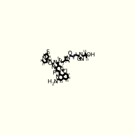 CN(CC1CN(C(=O)/C=C/c2nc(C(C)(C)O)no2)C1)c1nc(OC[C@@]23CCCN2C[C@H](F)C3)nc2c(F)c(-c3nc(N)cc4cccc(Cl)c34)ncc12